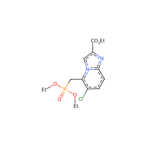 CCOC(=O)c1cn2c(CP(=O)(OCC)OCC)c(Cl)ccc2n1